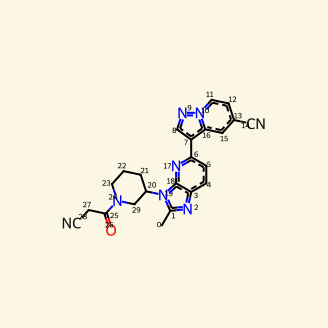 Cc1nc2ccc(-c3cnn4ccc(C#N)cc34)nc2n1C1CCCN(C(=O)CC#N)C1